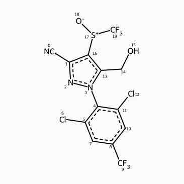 N#Cc1nn(-c2c(Cl)cc(C(F)(F)F)cc2Cl)c(CO)c1[S+]([O-])C(F)(F)F